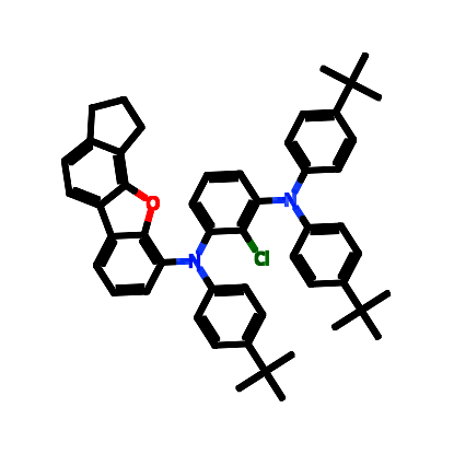 CC(C)(C)c1ccc(N(c2ccc(C(C)(C)C)cc2)c2cccc(N(c3ccc(C(C)(C)C)cc3)c3cccc4c3oc3c5c(ccc34)CCC5)c2Cl)cc1